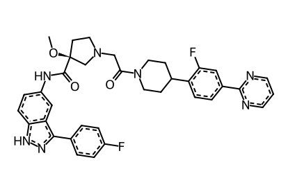 CO[C@@]1(C(=O)Nc2ccc3[nH]nc(-c4ccc(F)cc4)c3c2)CCN(CC(=O)N2CCC(c3ccc(-c4ncccn4)cc3F)CC2)C1